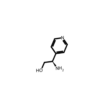 N[C@@H](CO)c1ccncc1